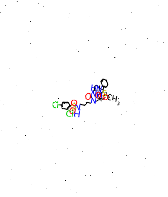 CCNC(=O)N(CCCCNS(=O)(=O)c1ccc(Cl)cc1Cl)C[C@H](COC)OC(=S)Nc1ccccc1